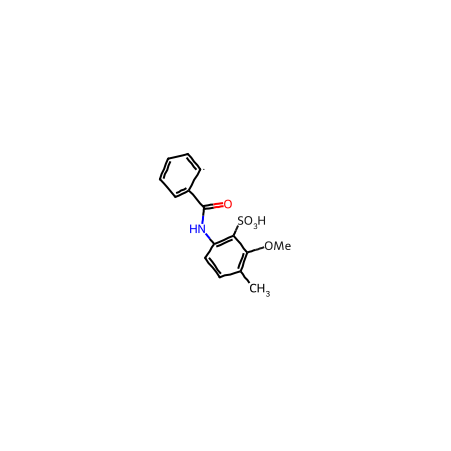 COc1c(C)ccc(NC(=O)c2[c]cccc2)c1S(=O)(=O)O